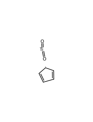 [CH]1C=CC=C1.[O]=[Ti]=[O]